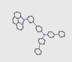 c1ccc(-c2ccc(N(c3ccc(-c4ccccc4)cc3)c3ccc(-c4cccc(-n5c6cccc7ccc8cccc5c8c76)c4)cc3)cc2)cc1